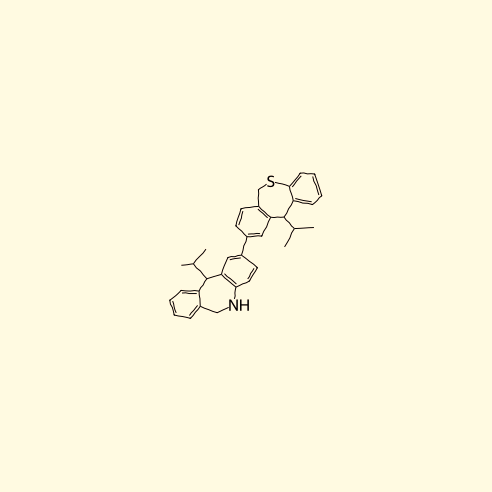 CC(C)C1c2ccccc2CNc2ccc(-c3ccc4c(c3)C(C(C)C)c3ccccc3SC4)cc21